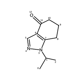 CC(C)n1ncc2c1CCCC2=O